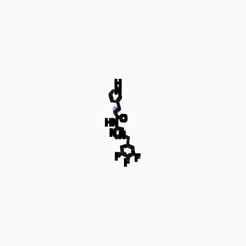 O=C(/C=C/C1=CNCC=C1)Nc1cn(Cc2cc(F)c(F)c(F)c2)cn1